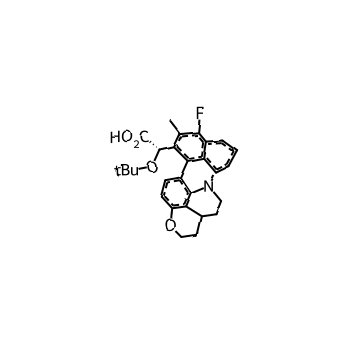 Cc1c([C@H](OC(C)(C)C)C(=O)O)c(-c2ccc3c4c2N(C)CCC4CCO3)c2ccccc2c1F